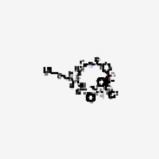 COc1ccc(C[C@]23CCCN(C2)C(=O)/C=C/C(=O)NCC[C@@H](C(=O)NCCOCCN)NC(=O)Cc2ccccc2CNC(=O)[C@H](Cc2ccco2)NC3=O)cc1